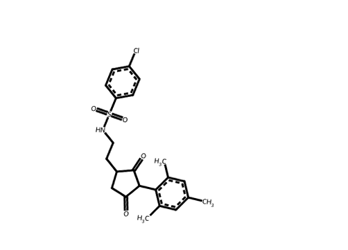 Cc1cc(C)c(C2C(=O)CC(CCNS(=O)(=O)c3ccc(Cl)cc3)C2=O)c(C)c1